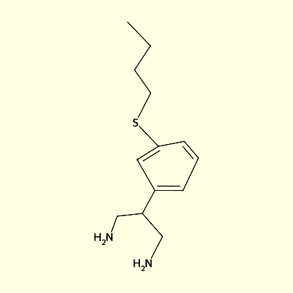 CCCCSc1cccc(C(CN)CN)c1